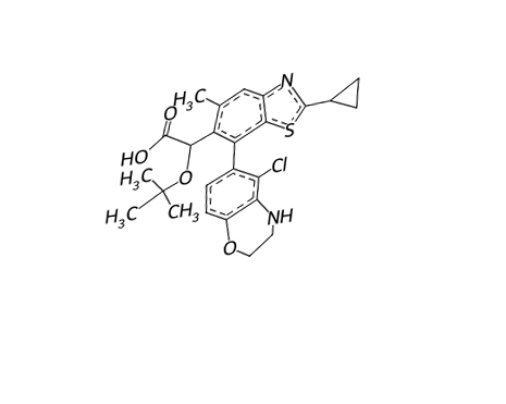 Cc1cc2nc(C3CC3)sc2c(-c2ccc3c(c2Cl)NCCO3)c1C(OC(C)(C)C)C(=O)O